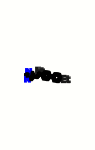 CCC1CCC(c2ccc(C(CC)Cc3cncnc3)cc2)CC1